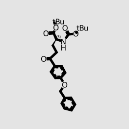 CC(C)(C)OC(=O)N[C@@H](CCC(=O)c1ccc(OCc2ccccc2)cc1)C(=O)OC(C)(C)C